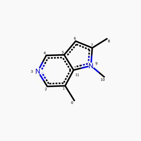 Cc1cncc2cc(C)n(C)c12